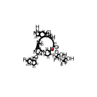 O=C(O)C(F)(F)F.O=C(O)C(F)(F)F.O=C1CC[C@@H]2C[C@@H]2c2c(Cl)cc3[nH]ncc3c2-c2ncc3c(nc(OC[C@@]45CCCN4C[C@H](F)C5)nc3c2F)N2CCC[C@H](C2)O1